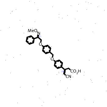 CO/N=C(/COc1ccc(COc2ccc(/C(=C/C#N)CC(=O)O)cc2)cc1)c1ccccc1